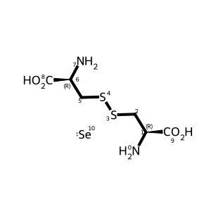 N[C@@H](CSSC[C@H](N)C(=O)O)C(=O)O.[Se]